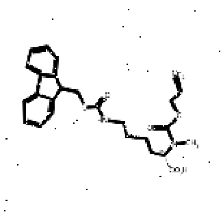 C=CCOC(=O)N(C)[C@@H](CCCCNC(=O)OCC1c2ccccc2-c2ccccc21)C(=O)O